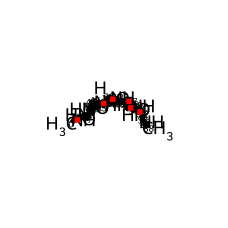 CCNCCNC(=O)c1cc2cc(NC(=O)c3ccc4[nH]c(C(=O)Nc5ccc6[nH]c(C(=O)NCCNCC)cc6c5)cc4c3)ccc2[nH]1